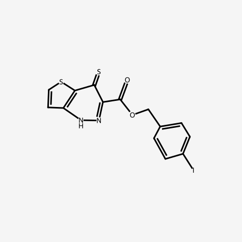 O=C(OCc1ccc(I)cc1)c1n[nH]c2ccsc2c1=S